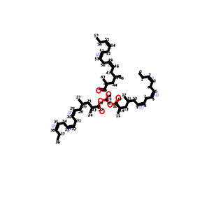 CC/C=C\C/C=C\C/C=C\CC(C)CC(C)C(=O)OC(OC(=O)C(C)CC(C)C/C=C\C/C=C\C/C=C\CC)OC(=O)C(C)CC(C)C/C=C\C/C=C\C/C=C\CC